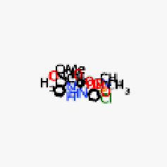 COC(=O)C(C)(C)C(C)(Nc1c(Nc2ccc(Cl)c(S(=O)(=O)N(C)C)c2O)c(=O)c1=O)c1ccccc1